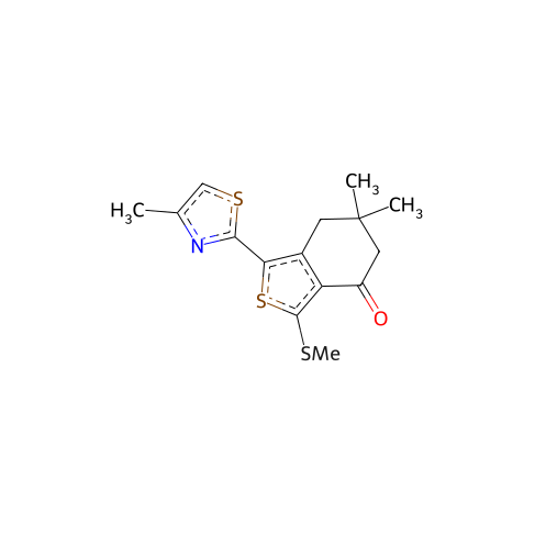 CSc1sc(-c2nc(C)cs2)c2c1C(=O)CC(C)(C)C2